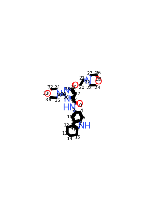 O=C(Nc1ccc2[nH]c3c(c2c1)CCCC3)c1cc(OCCN2CCOCC2)nc(N2CCOCC2)n1